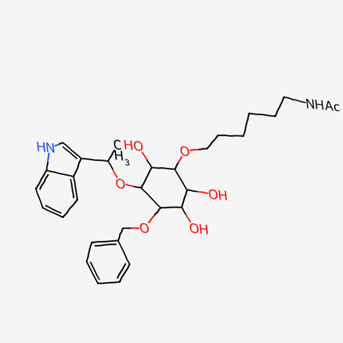 CC(=O)NCCCCCCOC1C(O)C(O)C(OCc2ccccc2)C(OC(C)c2c[nH]c3ccccc23)C1O